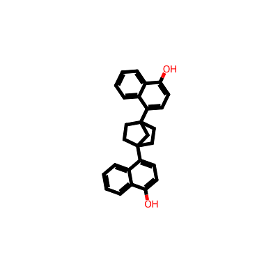 Oc1ccc(C23CCC(c4ccc(O)c5ccccc45)(CC2)C3)c2ccccc12